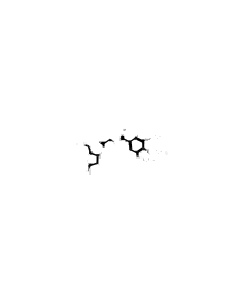 BC1CC(OC(=O)COC(=O)c2cc(OC)c(OC)c(OC)c2)C(CO)O1